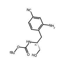 CC(C)(C)OC(=O)N[C@@H](CO)Cc1ccc(C#N)cc1N